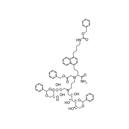 NC(=O)C(CCc1ccc(CCCCNC(=O)OCc2ccccc2)c2ccccc12)N(CCCN(C[C@H](O)[C@@H](O)[C@@H]1OC(c2ccccc2)OC[C@H]1O)C[C@H](O)[C@@H](O)[C@@H]1OC(c2ccccc2)OC[C@H]1O)CC(=O)OCc1ccccc1